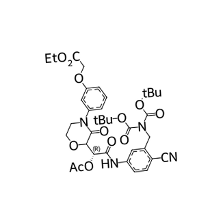 CCOC(=O)COc1cccc(N2CCOC([C@@H](OC(C)=O)C(=O)Nc3ccc(C#N)c(CN(C(=O)OC(C)(C)C)C(=O)OC(C)(C)C)c3)C2=O)c1